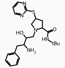 CC(C)(C)NC(=O)C1CC(Sc2ncccn2)CN1CC(O)C(N)Cc1ccccc1